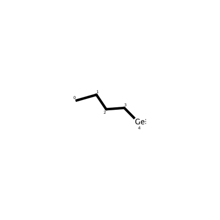 CCC[CH2][Ge]